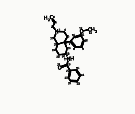 C=CCN1CCC2(c3cccc(OC)c3)C[C@H](NC(=O)c3ccccc3)CCC2C1